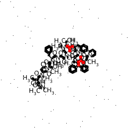 CN[C@@H](C)C(=O)N[C@H](C(=O)N(C)[C@H]1CC(C)N([C@H](C(=O)N(C)[C@@H](Cc2ccccc2)C(=O)NCC(=O)N(C)[C@@H](CC(C)C)C(=O)N(C)[C@H](C(=O)N[C@@H](Cc2ccccc2)C(=O)N[C@@H](CC(=O)SCc2ccccc2)C(=O)N(C)C(Cc2ccccc2)C(=O)N[C@@H](C)C(=O)N2CCCCC2)C(C)C)[C@@H](C)O)C1=O)C(C)C